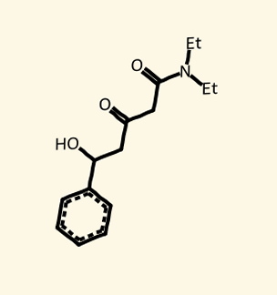 CCN(CC)C(=O)CC(=O)CC(O)c1ccccc1